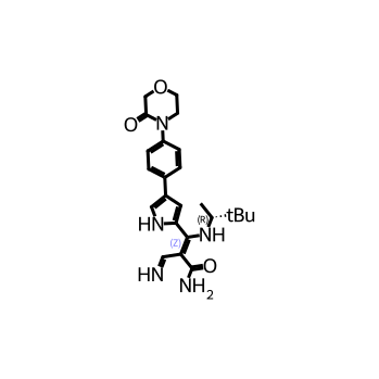 C[C@@H](N/C(=C(/C=N)C(N)=O)c1cc(-c2ccc(N3CCOCC3=O)cc2)c[nH]1)C(C)(C)C